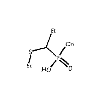 CCSC(CC)P(=O)(O)O